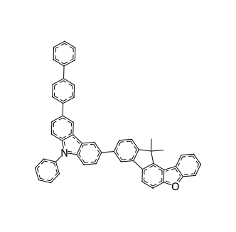 CC1(C)c2ccc(-c3ccc4c(c3)c3cc(-c5ccc(-c6ccccc6)cc5)ccc3n4-c3ccccc3)cc2-c2ccc3oc4ccccc4c3c21